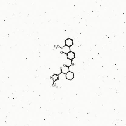 Cn1cc(C(=O)N2CCCCC2C(=O)Nc2ccc(-c3ccccc3OC(F)(F)F)c(Cl)c2)cn1